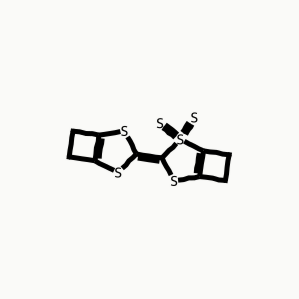 S=S1(=S)C2=C(CC2)SC1=C1SC2=C(CC2)S1